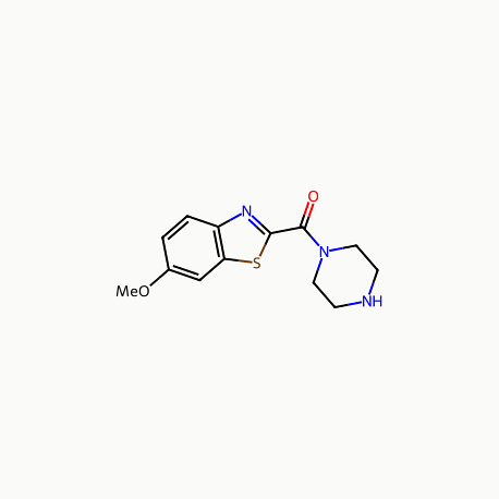 COc1ccc2nc(C(=O)N3CCNCC3)sc2c1